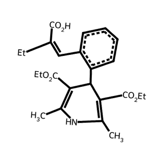 CCOC(=O)C1=C(C)NC(C)=C(C(=O)OCC)C1c1ccccc1/C=C(/CC)C(=O)O